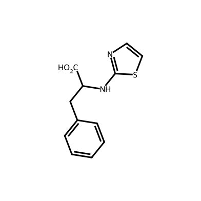 O=C(O)C(Cc1ccccc1)Nc1nccs1